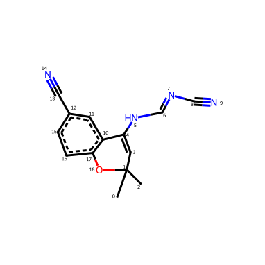 CC1(C)C=C(NC=NC#N)c2cc(C#N)ccc2O1